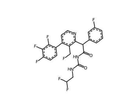 O=C(NCC(F)F)NC(=O)C(c1cccc(F)c1)c1nccc(-c2ccc(F)c(F)c2F)c1CF